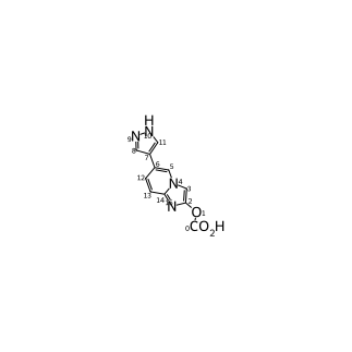 O=C(O)Oc1cn2cc(-c3cn[nH]c3)ccc2n1